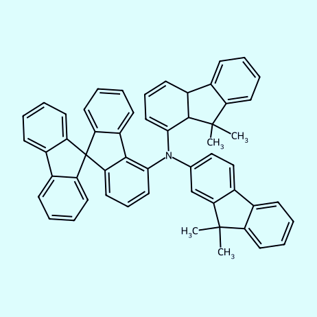 CC1(C)c2ccccc2-c2ccc(N(C3=CC=CC4c5ccccc5C(C)(C)C34)c3cccc4c3-c3ccccc3C43c4ccccc4-c4ccccc43)cc21